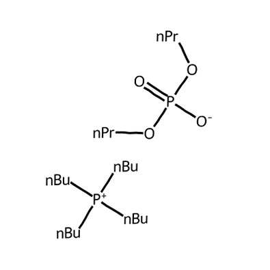 CCCC[P+](CCCC)(CCCC)CCCC.CCCOP(=O)([O-])OCCC